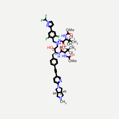 COC(=O)N[C@H](C(=O)N[C@@H](Cc1ccc(C#Cc2ccc(N3C[C@H]4CN(C)C[C@H]4C3)nc2)cc1)[C@@H](O)CN(Cc1c(F)cc(-c2ccn(C(F)F)n2)cc1F)NC(=O)[C@@H](NC(=O)OC)C(C)(C)C(F)(F)F)C(C)(C)C(F)(F)F